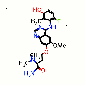 COc1cc2c(Nc3c(F)ccc(O)c3C)ncnc2cc1OCCC(C(N)=O)N(C)C